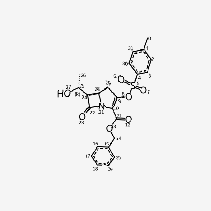 Cc1ccc(S(=O)(=O)OC2=C(C(=O)OCc3ccccc3)N3C(=O)C([C@@H](C)O)C3C2)cc1